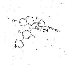 CC(C)(C)C#C[C@]1(O)CC[C@H]2[C@@H]3CCC4=CC(=O)CCC4=C3[C@@H](c3cc(F)c(-c4ccncc4)cc3F)C[C@@]21C